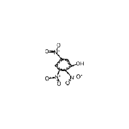 O=[N+]([O-])c1cc(O)c([N+](=O)[O-])c([N+](=O)[O-])c1